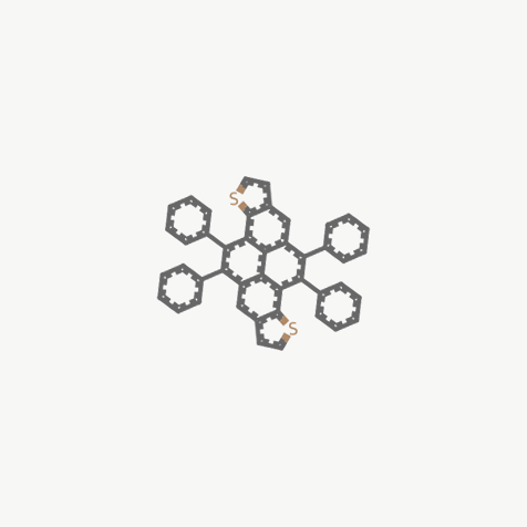 c1ccc(-c2c(-c3ccccc3)c3c4sccc4cc4c(-c5ccccc5)c(-c5ccccc5)c5c6sccc6cc2c5c43)cc1